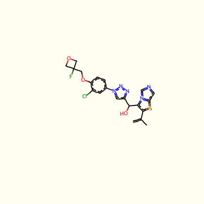 C=C(C)c1sc2cncn2c1C(O)c1cn(-c2ccc(OCC3(F)COC3)c(Cl)c2)nn1